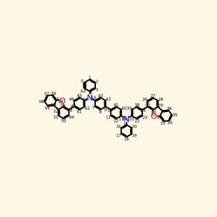 c1cccc(N(c2ccc(-c3ccc(N(c4ccccc4)c4ccc(-c5cccc6c5oc5ccccc56)cc4)cc3)cc2)c2ccc(-c3cccc4c3oc3ccccc34)cc2)c#1